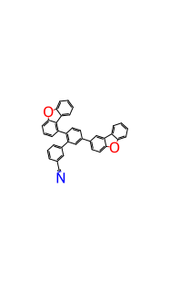 N#Cc1cccc(-c2cc(-c3ccc4oc5ccccc5c4c3)ccc2-c2cccc3oc4ccccc4c23)c1